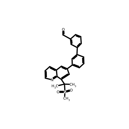 CC(C)(c1cc(-c2cccc(-c3cccc(C=O)c3)c2)cc2cccnc12)S(C)(=O)=O